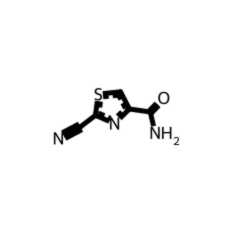 N#Cc1nc(C(N)=O)cs1